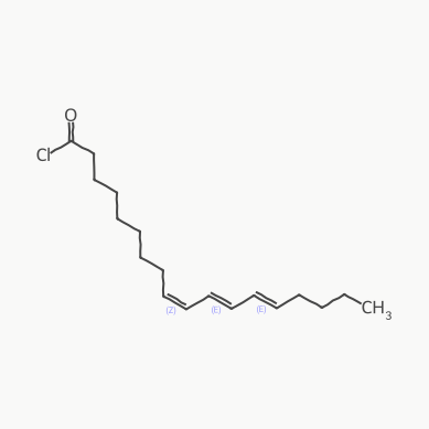 CCCC/C=C/C=C/C=C\CCCCCCCC(=O)Cl